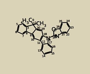 CC1(C)c2ccccc2-c2cc3c4ccccc4n(-c4nc5ccccc5o4)c3cc21